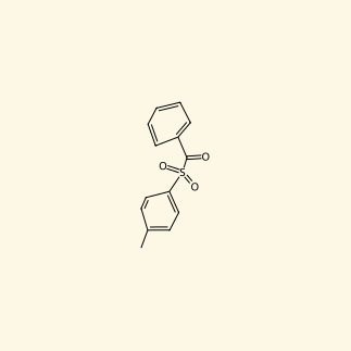 Cc1ccc(S(=O)(=O)C(=O)c2ccccc2)cc1